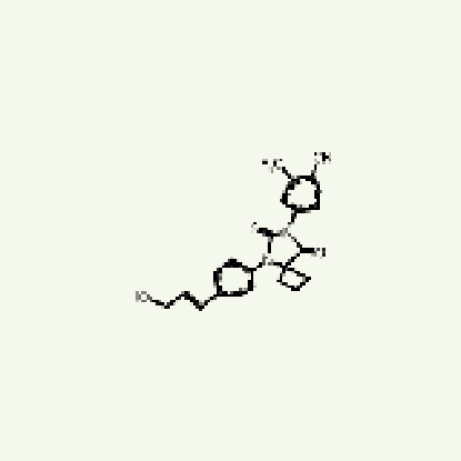 N#Cc1ccc(N2C(=O)C3(CCC3)N(c3ccc(C=CCO)cc3)C2=S)cc1C(F)(F)F